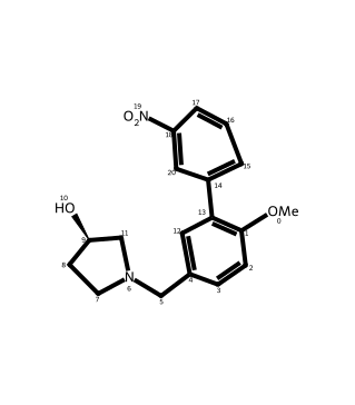 COc1ccc(CN2CC[C@@H](O)C2)cc1-c1cccc([N+](=O)[O-])c1